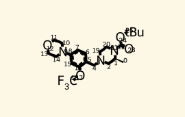 C[C@H]1CN(Cc2ccc(N3CCOCC3)cc2OC(F)(F)F)CCN1C(=O)OC(C)(C)C